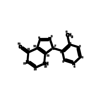 Cc1ccncc1-n1ncc2c(=O)nc[nH]c21